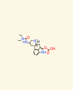 CCN(CC)C(=O)N[C@H]1CC2c3cccc4[nH]c(OC(=O)O)c(c34)C[C@H]2N(C)C1